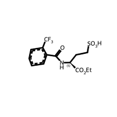 CCOC(=O)[C@H](CCS(=O)(=O)O)NC(=O)c1ccccc1C(F)(F)F